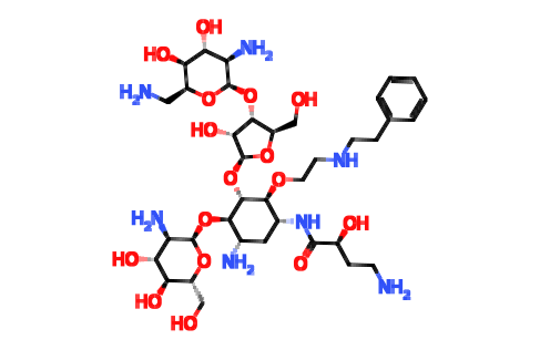 NCC[C@H](O)C(=O)N[C@@H]1C[C@H](N)[C@@H](O[C@H]2O[C@H](CO)[C@@H](O)[C@H](O)[C@H]2N)[C@H](O[C@@H]2O[C@H](CO)[C@@H](O[C@H]3O[C@@H](CN)[C@@H](O)[C@H](O)[C@H]3N)[C@H]2O)[C@H]1OCCNCCc1ccccc1